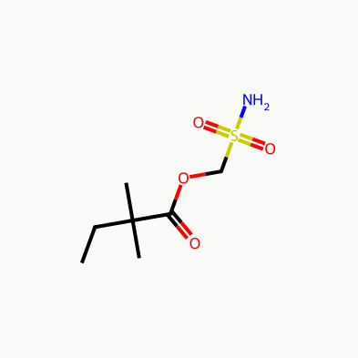 CCC(C)(C)C(=O)OCS(N)(=O)=O